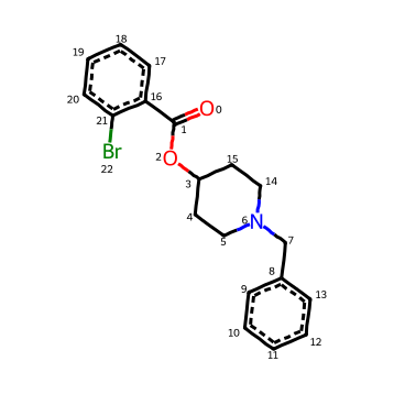 O=C(OC1CCN(Cc2ccccc2)CC1)c1ccccc1Br